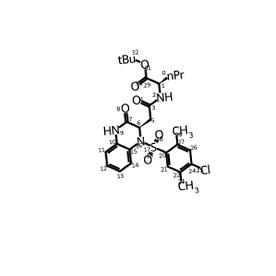 CCC[C@@H](NC(=O)C[C@@H]1C(=O)Nc2ccccc2N1S(=O)(=O)c1cc(C)c(Cl)cc1C)C(=O)OC(C)(C)C